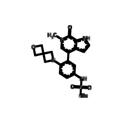 CCCCS(=O)(=O)Nc1ccc(N2CC3(COC3)C2)c(-c2cn(C)c(=O)c3[nH]ccc23)c1